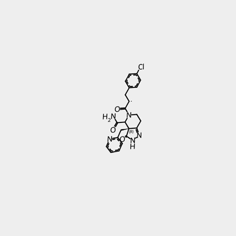 NC(=O)C1N(C(=O)[CH]Cc2ccc(Cl)cc2)CCC2=NNC(=O)[C@@]21Cc1ccccn1